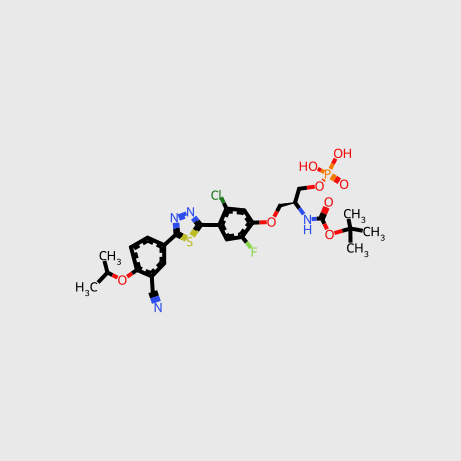 CC(C)Oc1ccc(-c2nnc(-c3cc(F)c(OC[C@@H](COP(=O)(O)O)NC(=O)OC(C)(C)C)cc3Cl)s2)cc1C#N